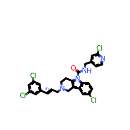 O=C(NCc1ccnc(Cl)c1)n1c2c(c3cc(Cl)ccc31)CN(C/C=C/c1cc(Cl)cc(Cl)c1)CC2